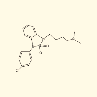 CN(C)CCCCN1c2ccccc2N(c2ccc(Cl)cc2)S1(=O)=O